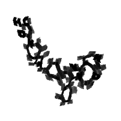 C=CC(=O)N1CCC2(CC1)CN(Cc1ccc(-c3nc4n(c3-c3ccccc3)CCOc3cnccc3-4)cc1)C2